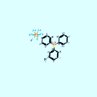 F[P-](F)(F)(F)(F)F.[H+].c1ccc(P(c2ccccc2)c2ccccc2)cc1